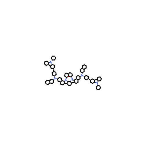 c1ccc(-n2c3ccccc3c3cc(-c4ccc(N(c5ccc6ccccc6c5)c5ccc6c(ccc7c8ccc9c%10ccc%11cc(N(c%12ccc(-c%13ccc%14c(c%13)c%13ccccc%13n%14-c%13ccccc%13)cc%12)c%12ccc%13ccccc%13c%12)ccc%11c%10n(-c%10ccccc%10)c9c8n(-c8ccccc8)c67)c5)cc4)ccc32)cc1